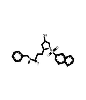 CN(Cc1ccccc1)C(=O)CCC1CC(S)CN1S(=O)(=O)c1ccc2ccccc2c1